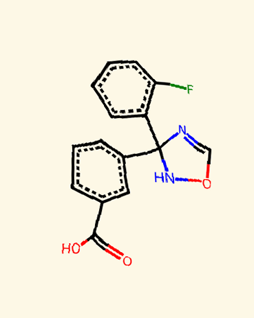 O=C(O)c1cccc(C2(c3ccccc3F)N=CON2)c1